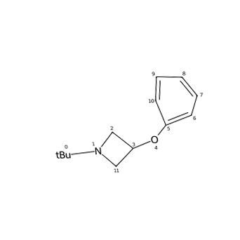 CC(C)(C)N1CC(Oc2ccccc2)C1